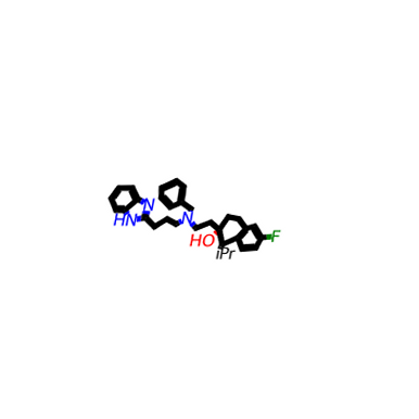 CC(C)C1c2ccc(F)cc2CCC1(O)CCN(CCCc1nc2ccccc2[nH]1)Cc1ccccc1